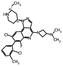 CC[C@@H]1C[C@@H](n2ncc3c(N4CC(N(C)C)C4)nc4c(F)c(-c5cccc(C)c5Cl)c(Cl)cc4c32)CCN1